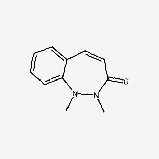 CN1C(=O)C=Cc2ccccc2N1C